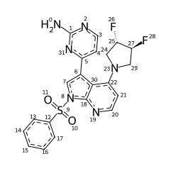 Nc1nccc(-c2cn(S(=O)(=O)c3ccccc3)c3nccc(N4C[C@H](F)[C@@H](F)C4)c23)n1